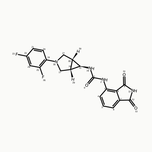 O=C(Nc1cccc2c1C(=O)NC2=O)N[C@H]1[C@@H]2CN(c3ccc(F)cc3F)C[C@@H]21